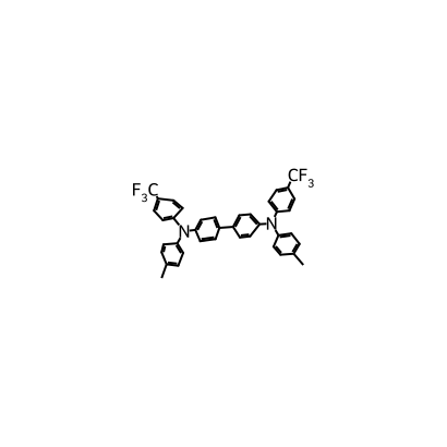 Cc1ccc(N(c2ccc(-c3ccc(N(c4ccc(C)cc4)c4ccc(C(F)(F)F)cc4)cc3)cc2)c2ccc(C(F)(F)F)cc2)cc1